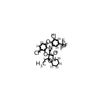 CCC(=O)C(C#N)(Oc1cc(Oc2ccc(C(F)(F)F)cc2Cl)ccc1Cl)C(=O)N1CCCCC1